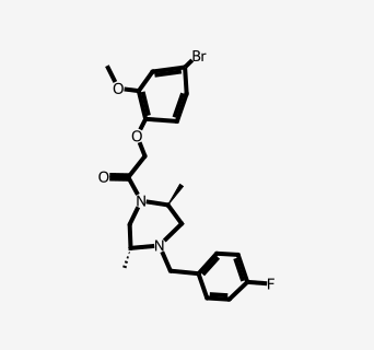 COc1cc(Br)ccc1OCC(=O)N1C[C@@H](C)N(Cc2ccc(F)cc2)C[C@@H]1C